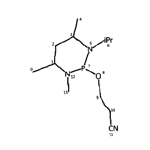 CC1CC(C)N(C(C)C)P(OCCC#N)N1C